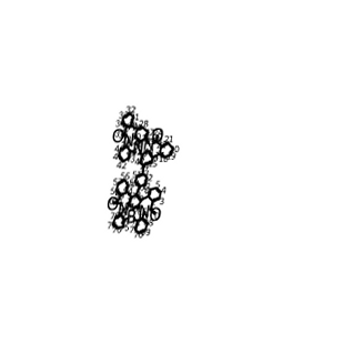 O=c1c2ccccc2c2c(-c3ccc(-c4cc5c6ccccc6c(=O)n6c7ccc8c9ccccc9c(=O)n9c%10ccccc%10n(c(c4)c56)-c7c89)cc3)c3c4ccccc4c(=O)n4c3c3c2n1-c1ccccc1B3c1ccccc1-4